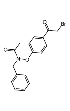 CC(=O)N(Cc1ccccc1)Oc1ccc(C(=O)CBr)cc1